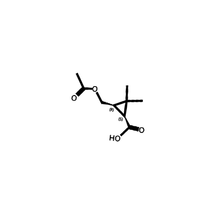 CC(=O)OC[C@@H]1[C@H](C(=O)O)C1(C)C